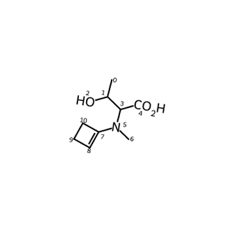 CC(O)C(C(=O)O)N(C)C1=CCC1